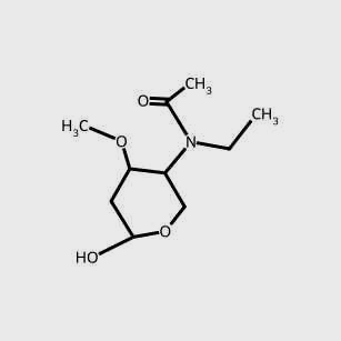 CCN(C(C)=O)C1COC(O)CC1OC